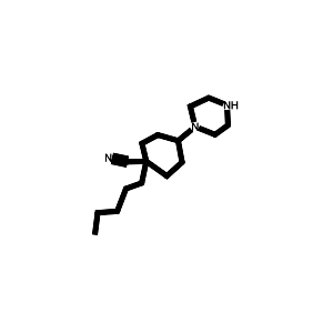 CCCCCC1(C#N)CCC(N2CCNCC2)CC1